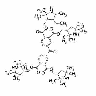 CCC1C(C)NC(C)(C)C1COC(=O)c1ccc(C(=O)c2ccc(C(=O)OCC3CC(C)(C)NC3(C)C)c(C(=O)OCC3CC(C)(C)NC3(C)C)c2)cc1C(=O)OCC1CC(C)(C)NC1(C)C